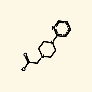 [O]C(=O)CN1CCN(c2ccccn2)CC1